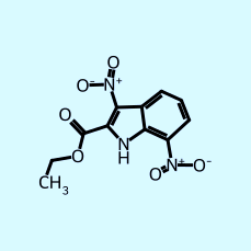 CCOC(=O)c1[nH]c2c([N+](=O)[O-])cccc2c1[N+](=O)[O-]